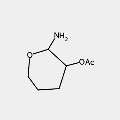 CC(=O)OC1CCCOC1N